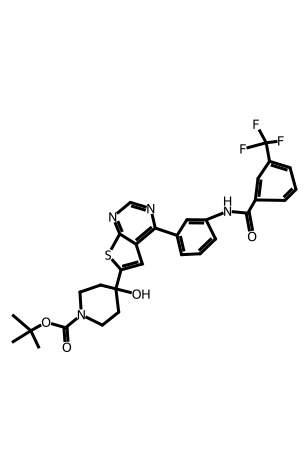 CC(C)(C)OC(=O)N1CCC(O)(c2cc3c(-c4cccc(NC(=O)c5cccc(C(F)(F)F)c5)c4)ncnc3s2)CC1